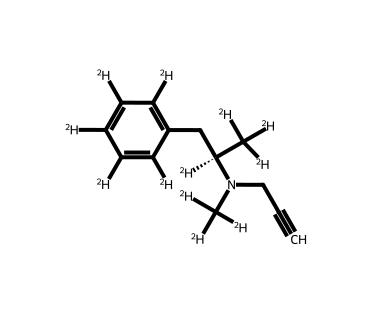 [2H]c1c([2H])c([2H])c(C[C@]([2H])(N(CC#C)C([2H])([2H])[2H])C([2H])([2H])[2H])c([2H])c1[2H]